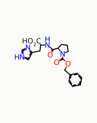 O=C(O)C(Cc1c[nH]cn1)NC(=O)C1CCCN1C(=O)OCc1ccccc1